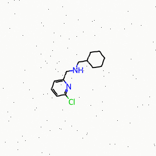 Clc1cccc(CNCC2CCCCC2)n1